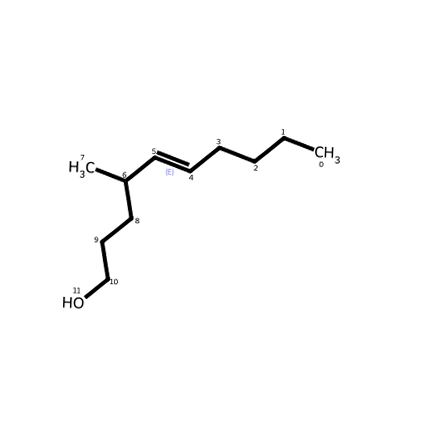 CCCC/C=C/C(C)CCCO